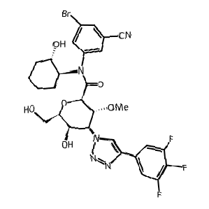 CO[C@@H]1[C@@H](n2cc(-c3cc(F)c(F)c(F)c3)nn2)[C@@H](O)[C@@H](CO)O[C@H]1C(=O)N(c1cc(Br)cc(C#N)c1)[C@H]1CCCC[C@@H]1O